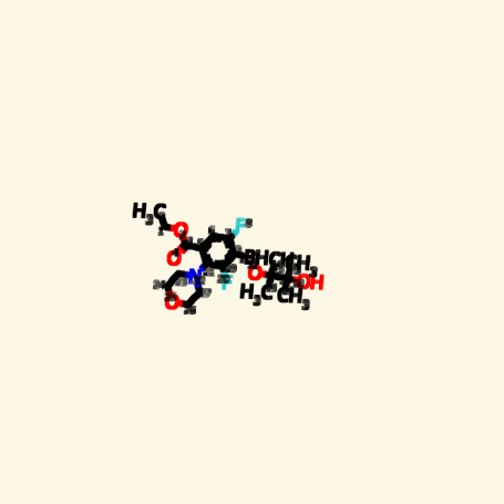 CCOC(=O)c1cc(F)c(BOC(C)(C)C(C)(C)O)c(F)c1N1CCOCC1